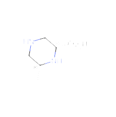 C[C@@H]1CNC[C@H](C(=O)O)N1